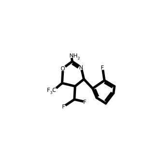 NC1=NC(c2ccccc2F)C(C(F)F)C(C(F)(F)F)O1